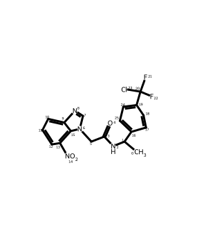 CC(NC(=O)Cn1cnc2cccc([N+](=O)[O-])c21)c1ccc(C(F)(F)Cl)cc1